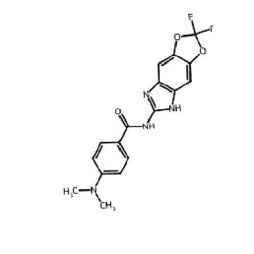 CN(C)c1ccc(C(=O)Nc2nc3cc4c(cc3[nH]2)OC(F)(F)O4)cc1